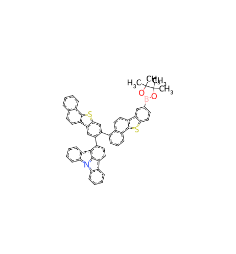 CC1(C)OB(c2ccc3sc4c5cccc(-c6cc7sc8c9ccccc9ccc8c7cc6-c6ccc7c8ccccc8n8c9ccccc9c6c78)c5ccc4c3c2)OC1(C)C